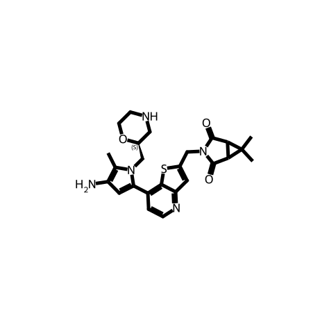 Cc1c(N)cc(-c2ccnc3cc(CN4C(=O)C5C(C4=O)C5(C)C)sc23)n1C[C@@H]1CNCCO1